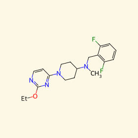 CCOc1nccc(N2CCC(N(C)Cc3c(F)cccc3F)CC2)n1